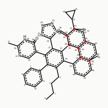 CCCCc1c(-c2ccccc2)c(-c2cnc(C)[nH]c2=O)c(-c2nnn[nH]2)c(N(C(=O)C(Br)C2CC2)c2ccccc2)c1-c1cccc(C)c1-c1ccccc1